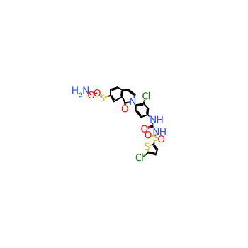 NOOSc1ccc2ccn(-c3ccc(NC(=O)NS(=O)(=O)c4ccc(Cl)s4)cc3Cl)c(=O)c2c1